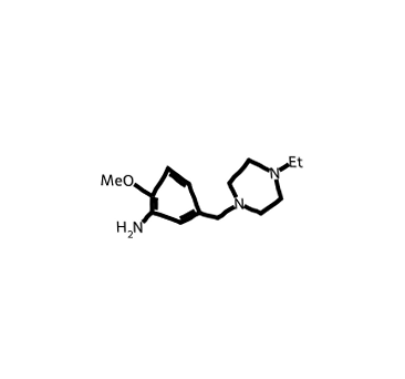 CCN1CCN(Cc2ccc(OC)c(N)c2)CC1